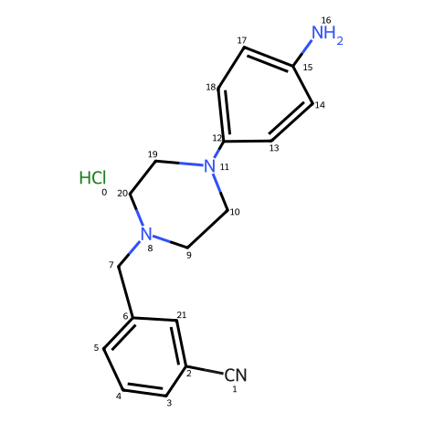 Cl.N#Cc1cccc(CN2CCN(c3ccc(N)cc3)CC2)c1